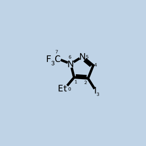 CCc1c(I)cnn1C(F)(F)F